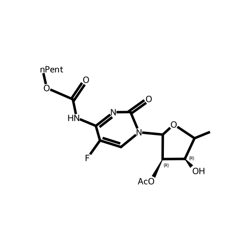 CCCCCOC(=O)Nc1nc(=O)n(C2OC(C)[C@@H](O)[C@H]2OC(C)=O)cc1F